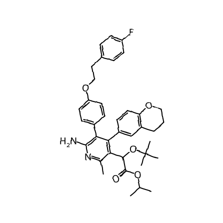 Cc1nc(N)c(-c2ccc(OCCc3ccc(F)cc3)cc2)c(-c2ccc3c(c2)CCCO3)c1C(OC(C)(C)C)C(=O)OC(C)C